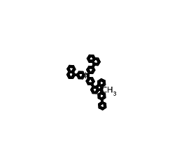 CC1(c2ccc(-c3ccccc3)cc2)c2ccccc2-c2c(-c3ccc(N(c4ccc(-c5cccc6ccccc56)cc4)c4ccc(-c5cccc6ccccc56)cc4)cc3)cccc21